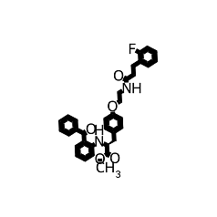 COC(=O)[C@H](Cc1ccc(OCCNC(=O)CCc2ccccc2F)cc1)Nc1ccccc1C(=O)c1ccccc1